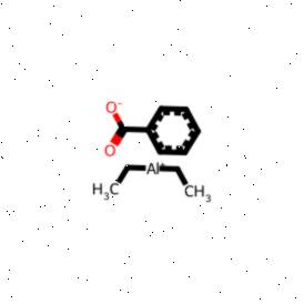 C[CH2][Al+][CH2]C.O=C([O-])c1ccccc1